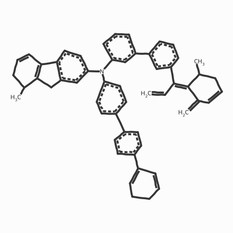 C=C/C(=C1\C(=C)C=CCC1C)c1cccc(-c2cccc(N(c3ccc(-c4ccc(C5=CCCC=C5)cc4)cc3)c3ccc4c(c3)CC3=C4C=CCC3C)c2)c1